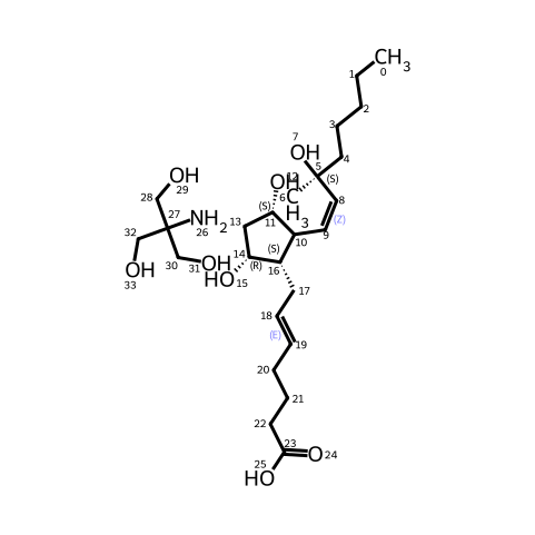 CCCCC[C@](C)(O)/C=C\C1[C@@H](O)C[C@@H](O)[C@H]1C/C=C/CCCC(=O)O.NC(CO)(CO)CO